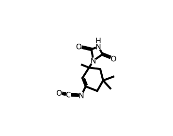 CC1(C)CC(N=C=O)=CC(C)(N2C(=O)NC2=O)C1